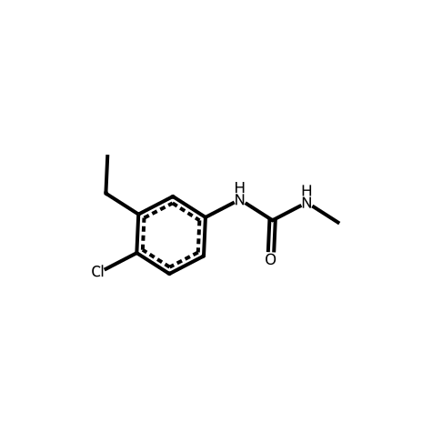 CCc1cc(NC(=O)NC)ccc1Cl